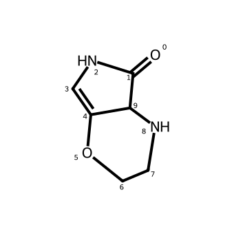 O=C1NC=C2OCCNC12